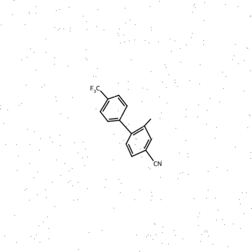 Cc1cc(C#N)ccc1-c1ccc(C(F)(F)F)cc1